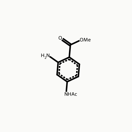 COC(=O)c1ccc(NC(C)=O)cc1N